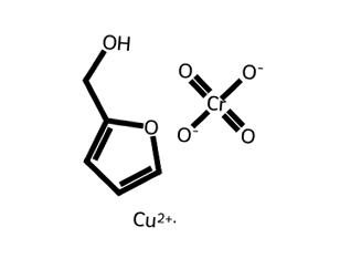 OCc1ccco1.[Cu+2].[O]=[Cr](=[O])([O-])[O-]